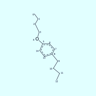 CCCCOc1ccc(CCCC)cc1